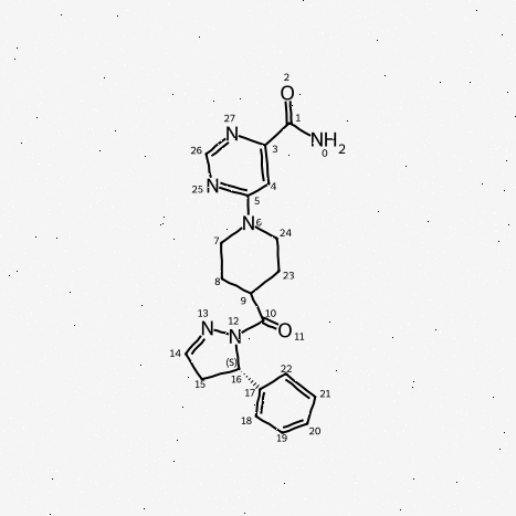 NC(=O)c1cc(N2CCC(C(=O)N3N=CC[C@H]3c3ccccc3)CC2)ncn1